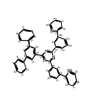 c1ccc(-c2cc(-c3ccccc3)cc(-c3nc(-c4cccc(-c5ccccn5)c4)nc(-c4cccc(-c5ccccn5)c4)n3)c2)cc1